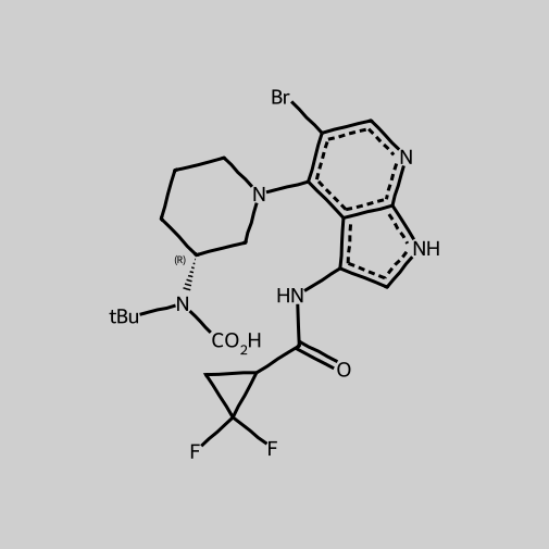 CC(C)(C)N(C(=O)O)[C@@H]1CCCN(c2c(Br)cnc3[nH]cc(NC(=O)C4CC4(F)F)c23)C1